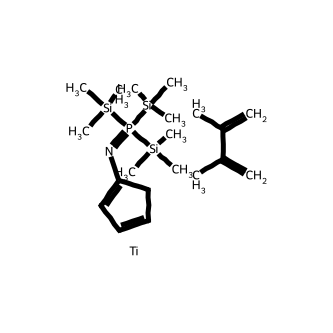 C=C(C)C(=C)C.C[Si](C)(C)P(=NC1=CC=CC1)([Si](C)(C)C)[Si](C)(C)C.[Ti]